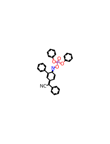 N#CC(=C1C=CC(=NOP(=O)(Oc2ccccc2)Oc2ccccc2)C(c2ccccc2)=C1)c1ccccc1